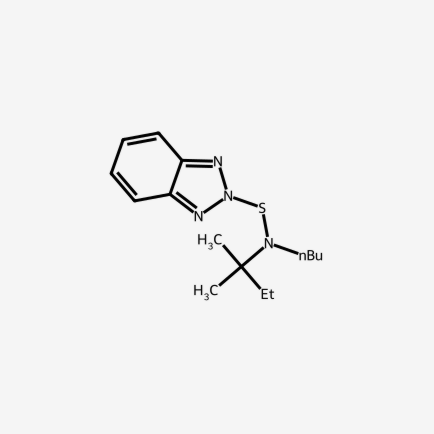 CCCCN(Sn1nc2ccccc2n1)C(C)(C)CC